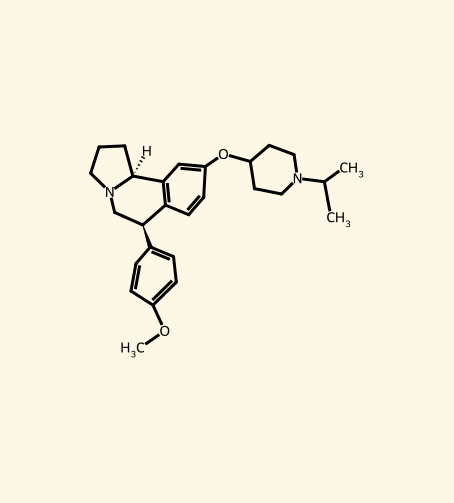 COc1ccc([C@H]2CN3CCC[C@H]3c3cc(OC4CCN(C(C)C)CC4)ccc32)cc1